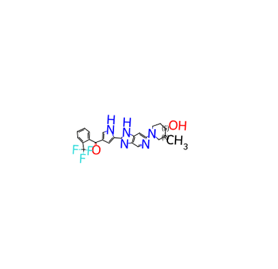 C[C@@H]1CN(c2cc3[nH]c(-c4cc(C(=O)c5ccccc5C(F)(F)F)c[nH]4)nc3cn2)CC[C@@H]1O